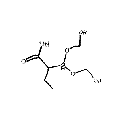 CCC(C(=O)O)[SiH](OCO)OCO